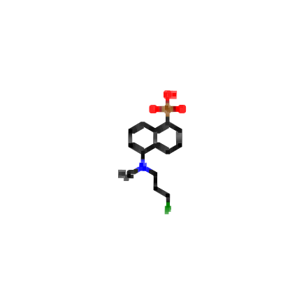 CN(CCCF)c1cccc2c(S(=O)(=O)O)cccc12